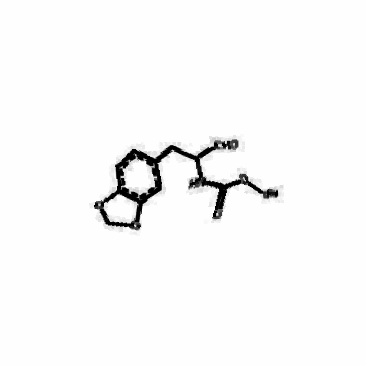 CC(C)(C)OC(=O)NC(C=O)Cc1ccc2c(c1)OCO2